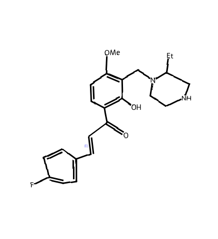 CCC1CNCCN1Cc1c(OC)ccc(C(=O)/C=C/c2ccc(F)cc2)c1O